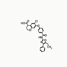 CCc1oc(NC(=O)c2ccc(Oc3cc4c(cc3Cl)C(C(=O)O)CCO4)cc2)nc1-c1ccccc1